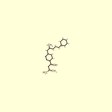 CC(C)CC(O)C1CCC(CC(C)CCCC2CCCCC2)CC1